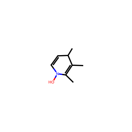 CC1=C(C)N(O)C=CC1C